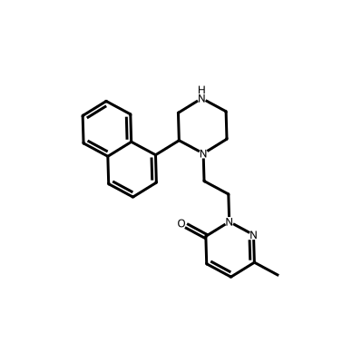 Cc1ccc(=O)n(CCN2CCNCC2c2cccc3ccccc23)n1